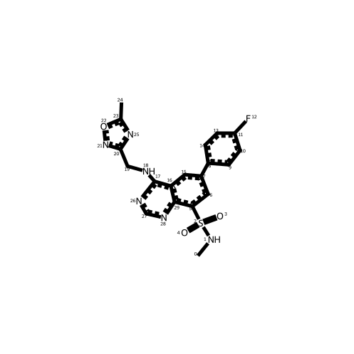 CNS(=O)(=O)c1cc(-c2ccc(F)cc2)cc2c(NCc3noc(C)n3)ncnc12